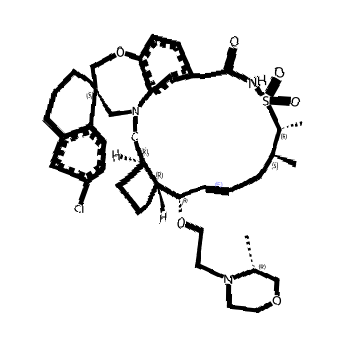 C[C@@H]1COCCN1CCO[C@H]1/C=C/C[C@H](C)[C@@H](C)S(=O)(=O)NC(=O)c2ccc3c(c2)N(C[C@@H]2CC[C@H]21)C[C@@]1(CCCc2cc(Cl)ccc21)CO3